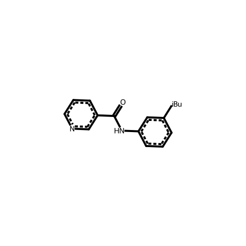 CCC(C)c1cccc(NC(=O)c2cccnc2)c1